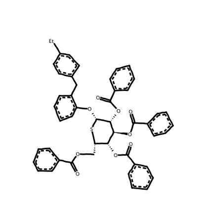 CCc1ccc(Cc2ccccc2O[C@H]2S[C@@H](COC(=O)c3ccccc3)[C@@H](OC(=O)c3ccccc3)[C@H](OC(=O)c3ccccc3)[C@H]2OC(=O)c2ccccc2)cc1